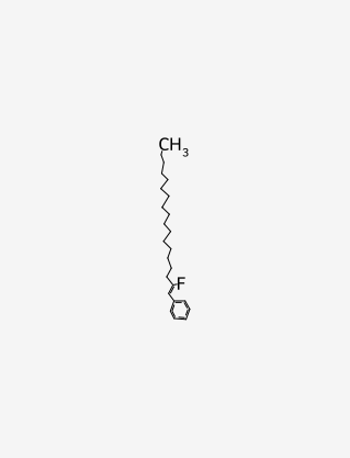 CCCCCCCCCCCCCCCCC(F)=Cc1ccccc1